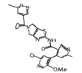 COc1cnc(Cl)cc1-c1cc(C)ncc1C(=O)Nc1nc2c(s1)CN(C(=O)c1cnnc(C)c1)C2